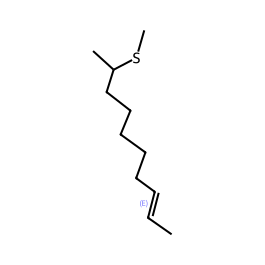 C/C=C/CCCCCC(C)SC